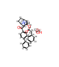 C[N+]1(CC(=O)c2ccc(-c3ccccc3)cc2)C2CCC1CC(OC(=O)[C@H](CO)c1ccccc1)C2.[Br-]